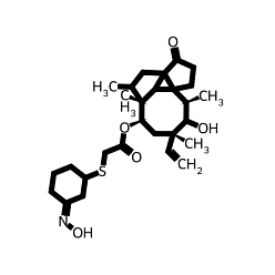 C=C[C@]1(C)C[C@@H](OC(=O)CSC2CCC/C(=N/O)C2)[C@]2(C)C(C)CC34C(=O)CCC3(C42)[C@@H](C)C1O